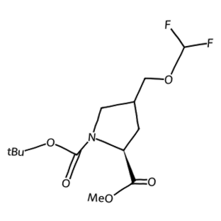 COC(=O)[C@@H]1CC(COC(F)F)CN1C(=O)OC(C)(C)C